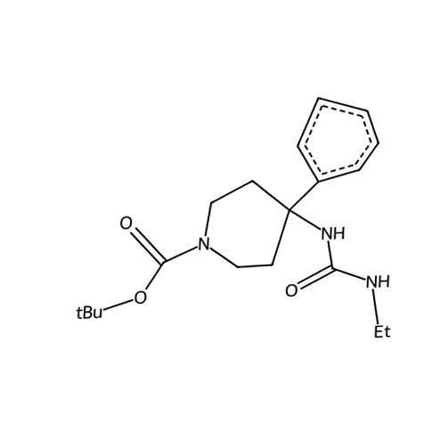 CCNC(=O)NC1(c2ccccc2)CCN(C(=O)OC(C)(C)C)CC1